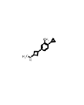 CNC1CC(c2ccc(C3CC3)c(C)c2)C1